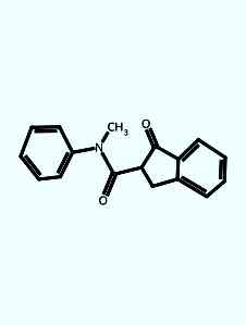 CN(C(=O)C1Cc2ccccc2C1=O)c1ccccc1